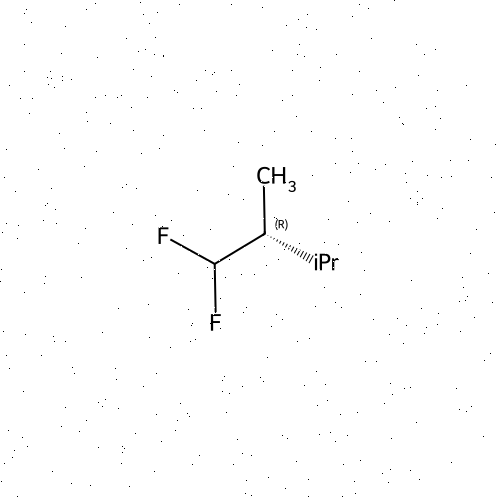 CC(C)[C@@H](C)C(F)F